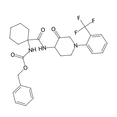 O=C(NC1(C(=O)NC2CCN(c3ccccc3C(F)(F)F)CC2=O)CCCCC1)OCc1ccccc1